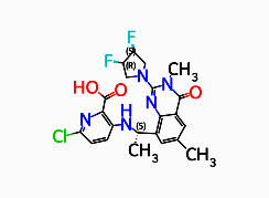 Cc1cc([C@H](C)Nc2ccc(Cl)nc2C(=O)O)c2nc(N3C[C@@H](F)[C@@H](F)C3)n(C)c(=O)c2c1